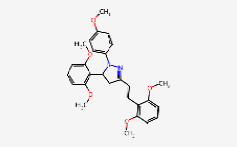 COc1ccc(N2N=C(C=Cc3c(OC)cccc3OC)CC2c2c(OC)cccc2OC)cc1